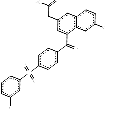 O=C(O)Cc1cc(C(=O)c2ccc(S(=O)(=O)c3cccc(Cl)c3)cc2)c2cc(F)ccc2c1